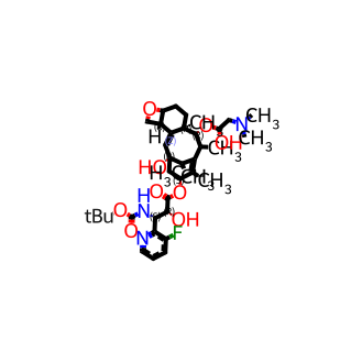 CC1=C2C(C)[C@@H](OC(O)CN(C)C)[C@]3(C)CCC4OC[C@H]4/C3=C/[C@](O)(C[C@@H]1OC(=O)[C@H](O)[C@@H](NC(=O)OC(C)(C)C)c1ncccc1F)C2(C)C